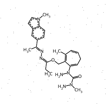 CCC(=NN=C(C)c1ccc2c(ccn2C)c1)OCC1=C(C)C=CCC=C1N(N)C(=O)N(C)N